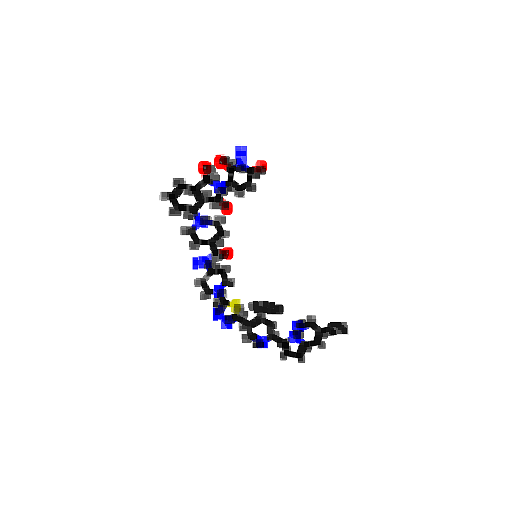 CNc1cc(-c2ccc3cc(C#N)cnn23)ncc1-c1nnc(N2CCC(NC(=O)C3CCN(c4cccc5c4C(=O)N(C4CCC(=O)NC4=O)C5=O)CC3)CC2)s1